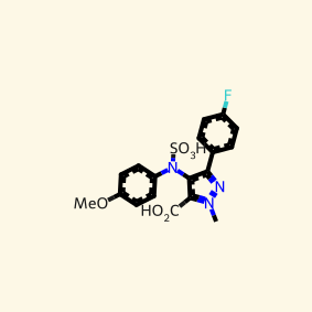 COc1ccc(N(c2c(-c3ccc(F)cc3)nn(C)c2C(=O)O)S(=O)(=O)O)cc1